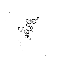 C[C@H](OC1CCC(C=O)C1c1ccc(F)cc1)c1cc(C(F)(F)F)cc(C(F)(F)F)c1